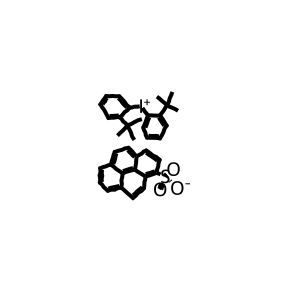 CC(C)(C)c1ccccc1[I+]c1ccccc1C(C)(C)C.O=S(=O)([O-])c1ccc2ccc3cccc4ccc1c2c34